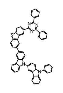 c1ccc(-c2nc(-c3ccccc3)nc(-c3ccc4sc5ccc(-c6ccc7c(c6)c6ccccc6n7-c6ccc7c(c6)c6ccccc6n7-c6ccccc6)cc5c4c3)n2)cc1